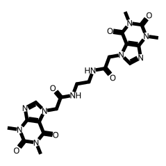 Cn1c(=O)c2c(ncn2CC(=O)NCCNC(=O)Cn2cnc3c2c(=O)n(C)c(=O)n3C)n(C)c1=O